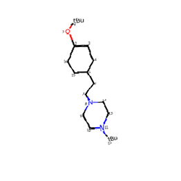 CC(C)(C)OC1CCC(CCN2CCN(C(C)(C)C)CC2)CC1